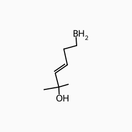 BCC/C=C/C(C)(C)O